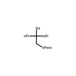 CCCCCCC(S)(CCC)CCC